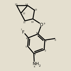 Cc1cc(N)cc(F)c1OC1CC2CC2C1